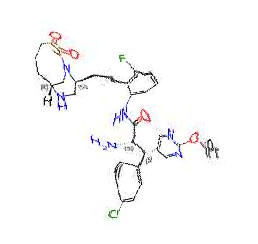 CC(C)Oc1ncc([C@H](c2ccc(Cl)cc2)[C@H](N)C(=O)Nc2cccc(F)c2CC[C@H]2CN[C@@H]3CCCS(=O)(=O)N2C3)cn1